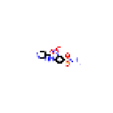 NS(=O)(=O)c1ccc(NCc2ccncc2)c([N+](=O)[O-])c1